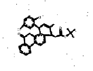 CC1=CC(c2cc(Cl)ccc2Cl)c2c(ccc3c2CC(=O)c2ccccc2-3)C1CC(=O)OC(C)(C)C